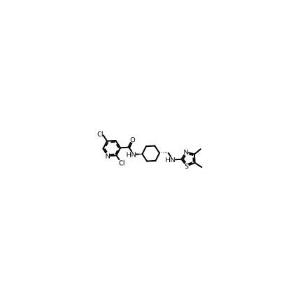 Cc1nc(NC[C@H]2CC[C@H](NC(=O)c3cc(Cl)cnc3Cl)CC2)sc1C